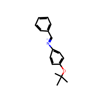 CC(C)(C)Oc1ccc(/N=C/c2ccccc2)cc1